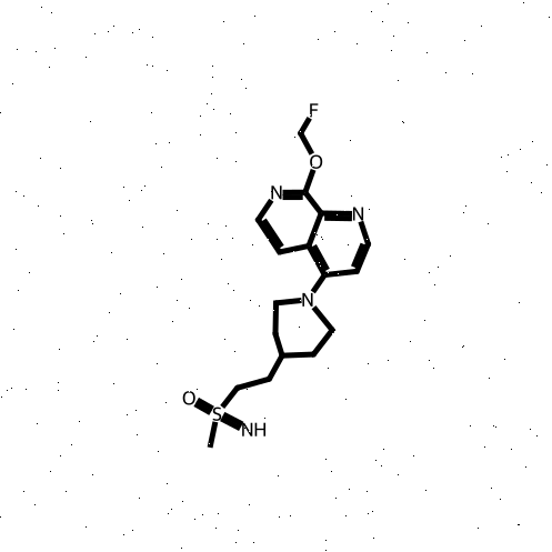 CS(=N)(=O)CCC1CCN(c2ccnc3c(OCF)nccc23)CC1